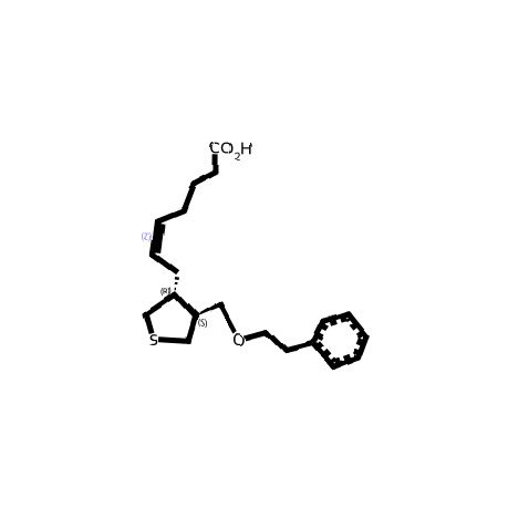 O=C(O)CCC/C=C\C[C@H]1CSC[C@@H]1COCCc1ccccc1